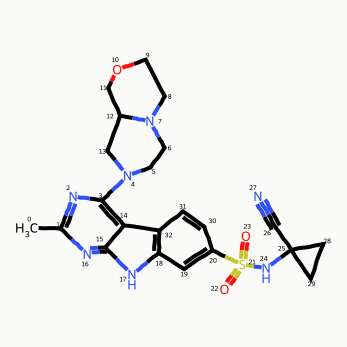 Cc1nc(N2CCN3CCOCC3C2)c2c(n1)[nH]c1cc(S(=O)(=O)NC3(C#N)CC3)ccc12